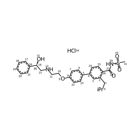 CC(C)Cc1cc(-c2ccc(OCCNC[C@H](O)c3ccccc3)cc2)ccc1C(=O)NS(C)(=O)=O.Cl